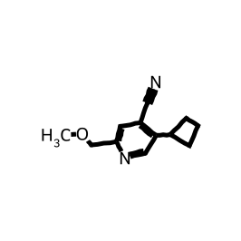 COCc1cc(C#N)c(C2CCC2)cn1